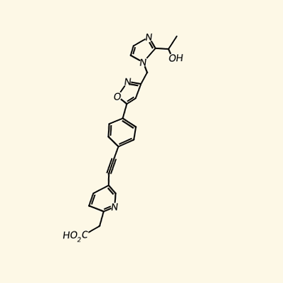 CC(O)c1nccn1Cc1cc(-c2ccc(C#Cc3ccc(CC(=O)O)nc3)cc2)on1